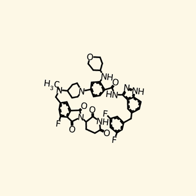 CN(Cc1cc(F)c2c(c1)C(=O)N(C1CCC(=O)NC1=O)C2=O)C1CCN(c2ccc(C(=O)Nc3n[nH]c4ccc(Cc5cc(F)cc(F)c5)cc34)c(NC3CCOCC3)c2)CC1